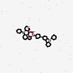 c1ccc(N2c3ccccc3C3(c4ccccc42)c2ccccc2N(c2ccc(-c4ccc5c(c4)c4ccccc4n5-c4ccccc4)cc2)c2ccccc23)cc1